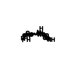 O=C(Nc1ccc(C=Cc2cnc(Nc3ccc(S(=O)(=O)C4CCNCC4)cc3)nc2)cc1)c1cccc(C(F)(F)F)c1